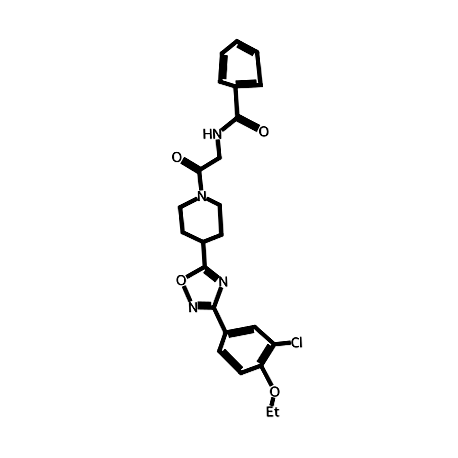 CCOc1ccc(-c2noc(C3CCN(C(=O)CNC(=O)c4ccccc4)CC3)n2)cc1Cl